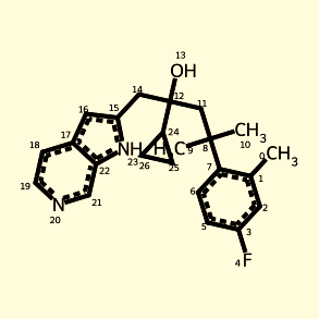 Cc1cc(F)ccc1C(C)(C)CC(O)(Cc1cc2ccncc2[nH]1)C1CC1